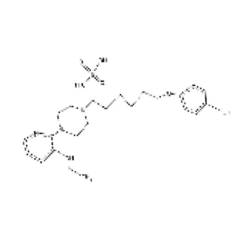 CCNc1cccnc1N1CCN(CCCCCCOc2ccc(O)cc2)CC1.CS(=O)(=O)O